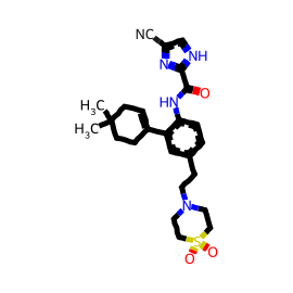 CC1(C)CC=C(c2cc(CCN3CCS(=O)(=O)CC3)ccc2NC(=O)c2nc(C#N)c[nH]2)CC1